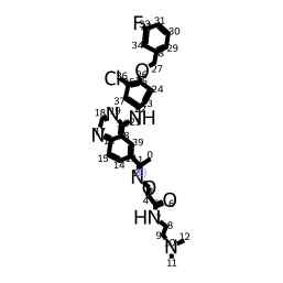 C/C(=N\OCC(=O)NCCN(C)C)c1ccc2ncnc(Nc3ccc(OCc4cccc(F)c4)c(Cl)c3)c2c1